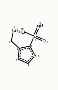 CCc1ccsc1S(=N)(=O)Cl